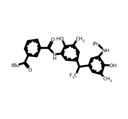 Cc1cc(C(c2cc(C)c(O)c(NC(C)C)c2)C(F)(F)F)cc(NC(=O)c2cccc(C(=O)C(C)(C)C)c2)c1O